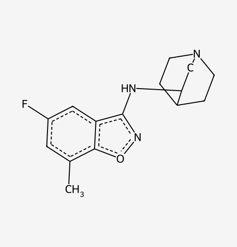 Cc1cc(F)cc2c(NC3CN4CCC3CC4)noc12